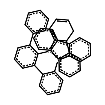 C1=CCC2C(=C1)N(c1c(-c3ccccc3)cccc1-c1ccccc1-n1c3ccccc3c3ccccc31)c1ccccc12